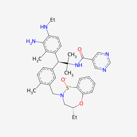 CCNc1ccc([C@H](c2ccc(C)c(CN3C[C@@H](CC)Oc4ccccc4[S+]3[O-])c2)C(C)(C)NC(=O)c2cncnc2)c(C)c1N